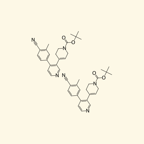 Cc1cc(-c2ccncc2C2=CCN(C(=O)OC(C)(C)C)CC2)ccc1C#N.Cc1cc(-c2ccncc2C2=CCN(C(=O)OC(C)(C)C)CC2)ccc1C#N